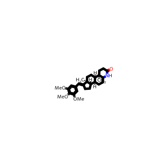 COc1cc(C=C2CC[C@H]3[C@@H]4CCC5NC(=O)CC[C@]5(C)[C@@H]4CC[C@]23C)cc(OC)c1OC